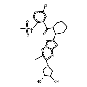 Cc1cn2nc([C@@H]3CCCCN3C(=O)c3cc(Cl)ccc3NS(C)(=O)=O)cc2nc1N1CC(C#N)[C@H](O)C1